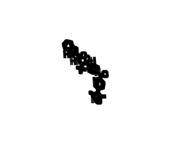 CC1=NOC(C)C1c1ccc(C(=O)N2C[C@@H]3CC2CN3C(=O)[C@@H](NC(=O)c2cc3ccccc3[nH]2)C(C)(C)C)nc1